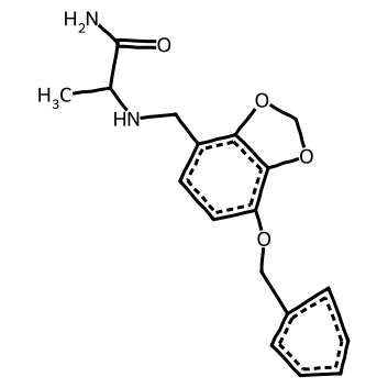 CC(NCc1ccc(OCc2ccccc2)c2c1OCO2)C(N)=O